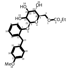 CCOC(=O)OC[C@H]1O[C@@H](Oc2ccccc2Cc2ccc(OC)cc2)C(O)[C@@H](O)[C@@H]1O